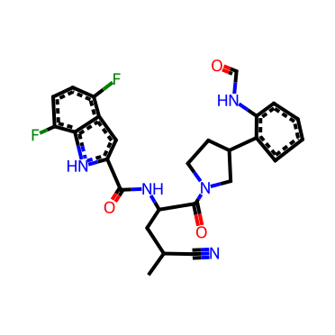 CC(C#N)CC(NC(=O)c1cc2c(F)ccc(F)c2[nH]1)C(=O)N1CCC(c2ccccc2NC=O)C1